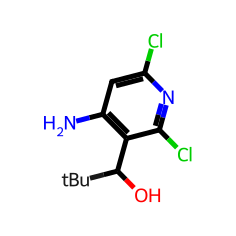 CC(C)(C)C(O)c1c(N)cc(Cl)nc1Cl